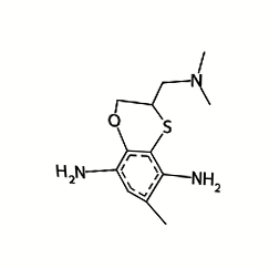 Cc1cc(N)c2c(c1N)SC(CN(C)C)CO2